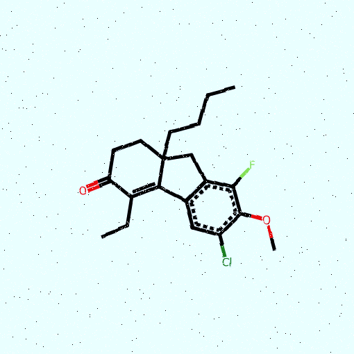 CCCCC12CCC(=O)C(CC)=C1c1cc(Cl)c(OC)c(F)c1C2